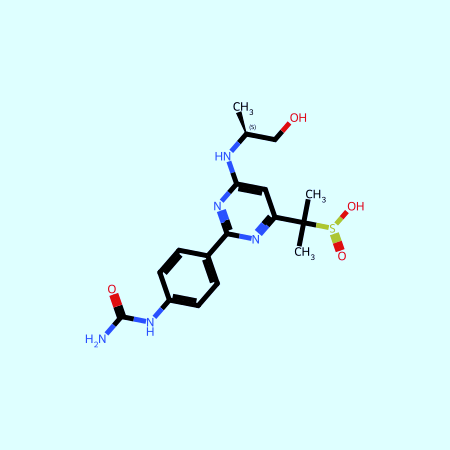 C[C@@H](CO)Nc1cc(C(C)(C)S(=O)O)nc(-c2ccc(NC(N)=O)cc2)n1